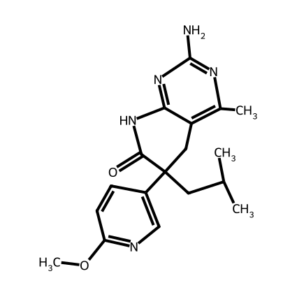 COc1ccc(C2(CC(C)C)Cc3c(C)nc(N)nc3NC2=O)cn1